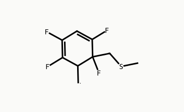 [CH2]C1C(F)=C(F)C=C(F)C1(F)CSC